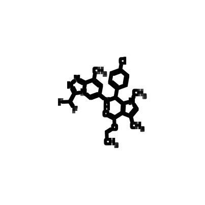 CCOC(=O)c1c(C)cn(C)c1C(Nc1cc(C)c2nnc(C(F)F)n2c1)c1ccc(Cl)cc1